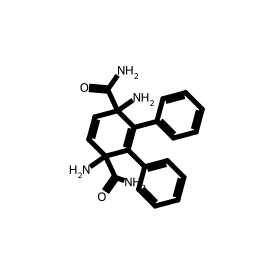 NC(=O)C1(N)C=CC(N)(C(N)=O)C(c2ccccc2)=C1c1ccccc1